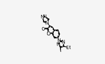 CCc1nn(-c2ccc3cc(-n4cnnc4)c(=O)oc3c2)nc1C